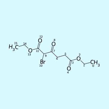 CCOC(=O)CCC(=O)C(Br)C(=O)OCC